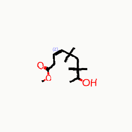 COC(=O)C/C=C\C(C)(C)CC(C)(C)C(C)O